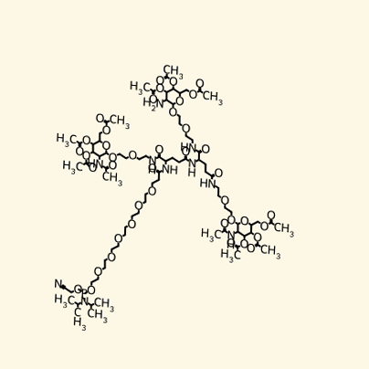 CC(=O)NC1C(OCCOCCNC(=O)CCC(NC(=O)CCC(NC(=O)CCOCCOCCOCCOCCOCCOCCOP(OCC#N)N(C(C)C)C(C)C)C(=O)NCCOCCOC2OC(COC(C)=O)C(OC(C)=O)C(OC(C)=O)C2NC(C)=O)C(=O)NCCOCCOC2OC(COC(C)=O)C(OC(C)=O)C(OC(C)=O)C2N)OC(COC(C)=O)C(OC(C)=O)C1OC(C)=O